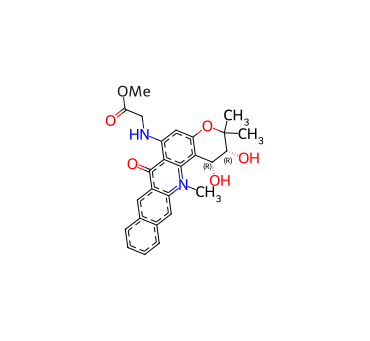 COC(=O)CNc1cc2c(c3c1c(=O)c1cc4ccccc4cc1n3C)[C@@H](O)[C@@H](O)C(C)(C)O2